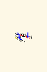 CNCc1ccccc1-c1csc([C@@H](C)Nc2nc(C)nc3cc(OCCOCCNC(=O)CC45CC6CC(CC(C6)C4)C5)c(OC)cc23)c1